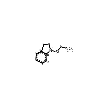 O=[N+]([O-])CSN1CCc2ccccc21